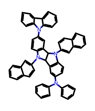 c1ccc(N(c2ccccc2)c2ccc3c(c2)C2C(c4cc(-n5c6ccccc6c6ccccc65)ccc4N2c2ccc4ccccc4c2)N3c2ccc3ccccc3c2)cc1